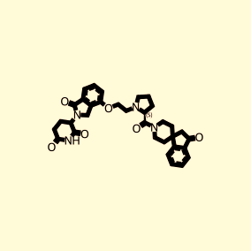 O=C1CCC(N2Cc3c(OCCN4CCC[C@H]4C(=O)N4CCC5(CC4)CC(=O)c4ccccc45)cccc3C2=O)C(=O)N1